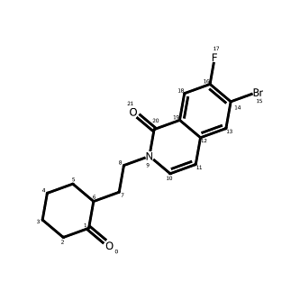 O=C1CCCCC1CCn1ccc2cc(Br)c(F)cc2c1=O